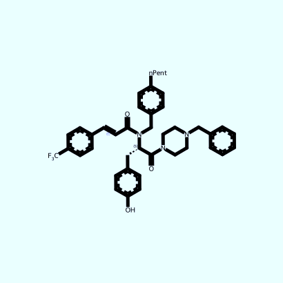 CCCCCc1ccc(CN(C(=O)/C=C/c2ccc(C(F)(F)F)cc2)[C@@H](Cc2ccc(O)cc2)C(=O)N2CCN(Cc3ccccc3)CC2)cc1